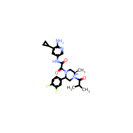 CC(C)C(=O)N1CC(c2ccc(F)c(F)c2)N(C(=O)C(=O)Nc2cnc(N)c(C3CC3)c2)C[C@H]1C